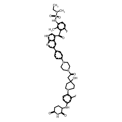 CCN(C)S(=O)(=O)Nc1ccc(F)c(C(=O)c2c[nH]c3ncc(-c4ccc(N5CCN(C(=O)CC6(O)CCN(c7ccc(NC8CCC(=O)NC8=O)cc7F)CC6)CC5)cc4)cc23)c1C